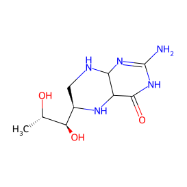 C[C@H](O)[C@H](O)[C@H]1CNC2N=C(N)NC(=O)C2N1